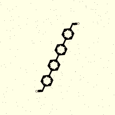 O=Cc1ccc(-c2ccc(-c3ccc(-c4ccc(C=O)cc4)cc3)cc2)cc1